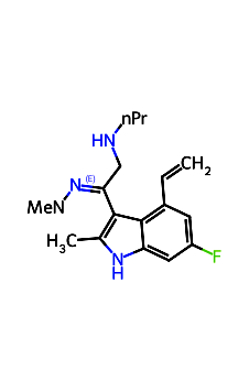 C=Cc1cc(F)cc2[nH]c(C)c(/C(CNCCC)=N\NC)c12